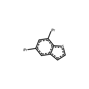 CC(C)c1cc(C(C)C)c2sccc2c1